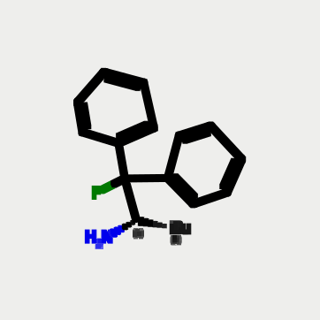 CC[C@@H](C)[C@H](N)C(F)(c1ccccc1)c1ccccc1